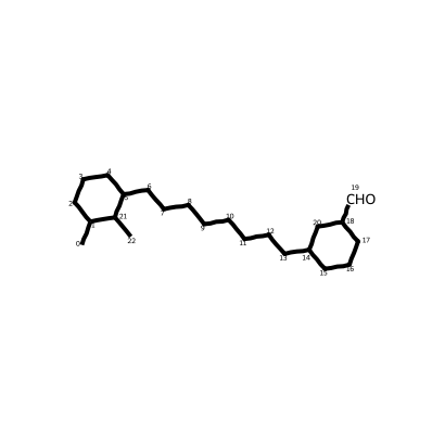 CC1CCCC(CCCCCCCCC2CCCC(C=O)C2)C1C